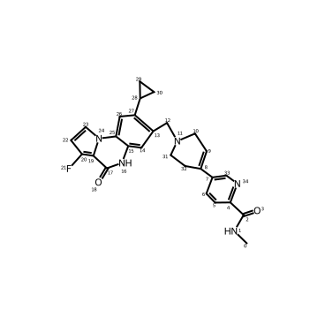 CNC(=O)c1ccc(C2=CCN(Cc3cc4[nH]c(=O)c5c(F)ccn5c4cc3C3CC3)CC2)cn1